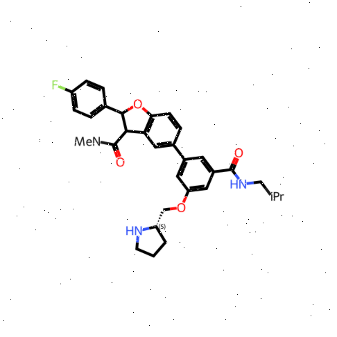 CNC(=O)C1c2cc(-c3cc(OC[C@@H]4CCCN4)cc(C(=O)NCC(C)C)c3)ccc2OC1c1ccc(F)cc1